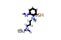 C=Nc1cccc(S)c1N(F)CCCN(C)C(C)(C)C